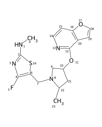 CNc1nc(F)c(CN2CC(Oc3nccc4occc34)CC2C)s1